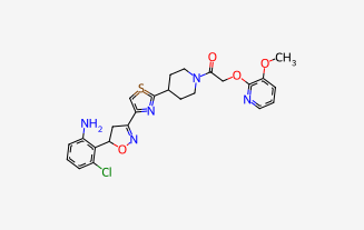 COc1cccnc1OCC(=O)N1CCC(c2nc(C3=NOC(c4c(N)cccc4Cl)C3)cs2)CC1